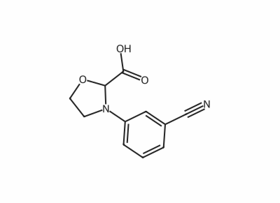 N#Cc1cccc(N2CCOC2C(=O)O)c1